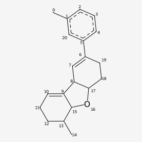 Cc1cccc(C2=CC3C4=CCCC(C)C4OC3CC2)c1